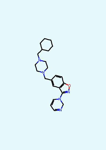 C1=CN(c2noc3ccc(CN4CCN(CC5CCCCC5)CC4)cc23)CN=C1